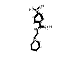 Cl.O=C(NCCN1CCCCC1)c1ccc(B(O)O)cc1